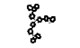 c1cc(-c2cc3ccccc3c3ccccc23)cc(N(c2ccc(-c3cccc(-n4c5ccccc5c5ccccc54)c3)cc2)c2ccc(-c3ccc4c(c3)oc3ccccc34)cc2)c1